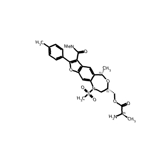 CNC(=O)c1c(-c2ccc(C)cc2)oc2cc3c(cc12)[C@H](C)O[C@H](COC(=O)[C@@H](C)N)CN3S(C)(=O)=O